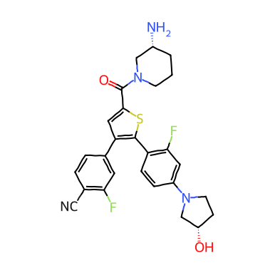 N#Cc1ccc(-c2cc(C(=O)N3CCC[C@@H](N)C3)sc2-c2ccc(N3CC[C@H](O)C3)cc2F)cc1F